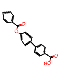 O=C(O)c1ccc(-c2ccc(OC(=O)c3ccccc3)cc2)cc1